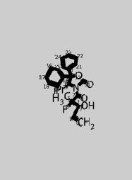 C=C[C@@H](O)C(C)(F)C(=O)N1C(=O)OC(c2ccccc2)(c2ccccc2)[C@@H]1C(C)C